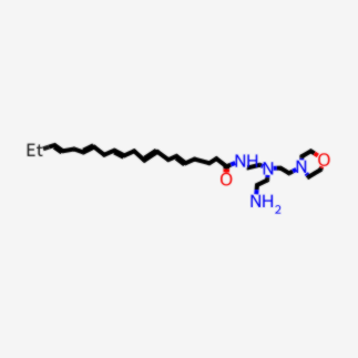 CCC=CCC=CCC=CCC=CCC=CCCCC(=O)NCCN(CCN)CCN1CCOCC1